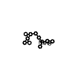 C1=C(c2ccc3c(c2)oc2ccccc23)NC(c2ccccc2)N=C1c1ccc(-c2cccc(-c3ccc4c(c3)-c3cc5c(cc3C43CCCCC3)-c3ccccc3C53CCCCC3)c2)cc1